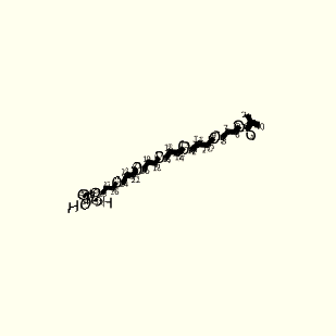 C=C(C)C(=O)OCCCOCCCOCCCOCCCOCCCOCCCOP(=O)(O)O